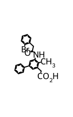 Cc1c(CC(=O)O)cc(-c2ccccc2)cc1NC(=O)Cc1ccccc1Br